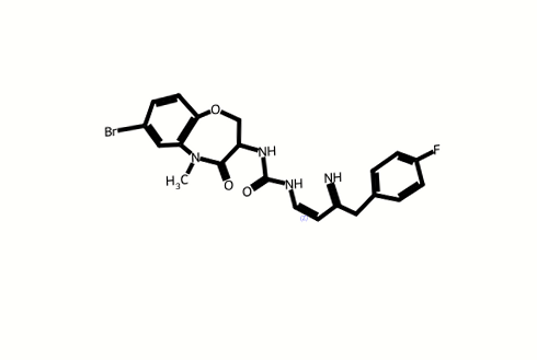 CN1C(=O)C(NC(=O)N/C=C\C(=N)Cc2ccc(F)cc2)COc2ccc(Br)cc21